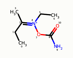 CCC(C)=[N+](CC)OC(N)=O